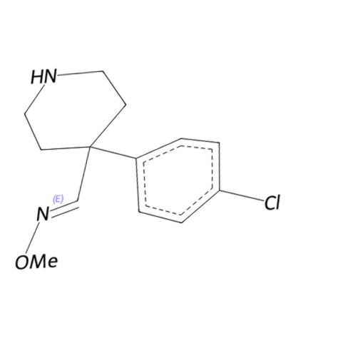 CO/N=C/C1(c2ccc(Cl)cc2)CCNCC1